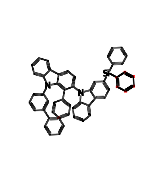 c1ccc(-c2cccc(-n3c4ccccc4c4ccc(-n5c6ccccc6c6ccc([Si](c7ccccc7)(c7ccccc7)c7ccccc7)cc65)c(-c5ccccc5)c43)c2)cc1